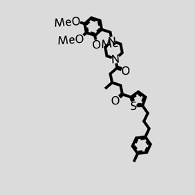 COc1ccc(CN2CCN(C(=O)CC(C)CC(=O)c3ccc(CCCc4ccc(C)cc4)s3)CC2)c(OC)c1OC